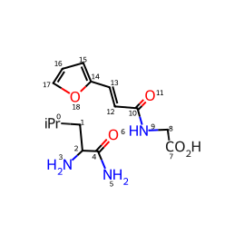 CC(C)CC(N)C(N)=O.O=C(O)CNC(=O)C=Cc1ccco1